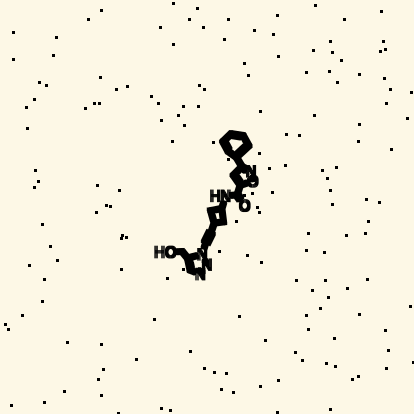 O=C(NC1CC(C#Cn2nncc2CO)C1)c1cc(-c2ccccc2)no1